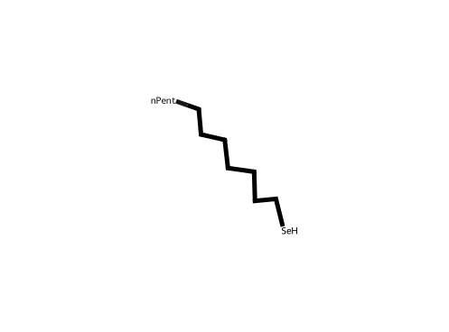 CCCCCCCCCCCC[SeH]